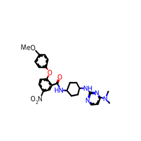 COc1ccc(Oc2ccc([N+](=O)[O-])cc2C(=O)NC2CCC(Nc3nccc(N(C)C)n3)CC2)cc1